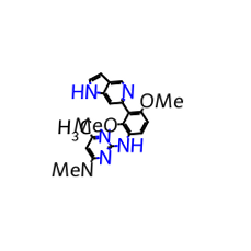 CNc1cc(C)nc(Nc2ccc(OC)c(-c3cc4[nH]ccc4cn3)c2OC)n1